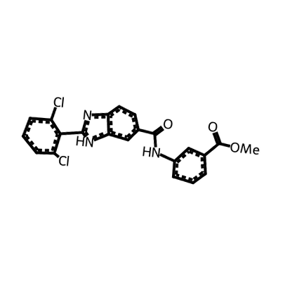 COC(=O)c1cccc(NC(=O)c2ccc3nc(-c4c(Cl)cccc4Cl)[nH]c3c2)c1